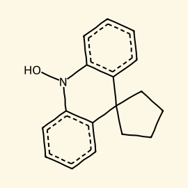 ON1c2ccccc2C2(CCCC2)c2ccccc21